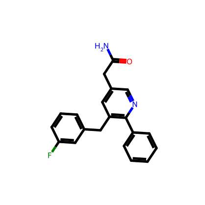 NC(=O)Cc1cnc(-c2ccccc2)c(Cc2cccc(F)c2)c1